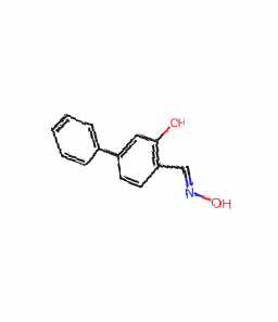 O/N=C/c1ccc(-c2ccccc2)cc1O